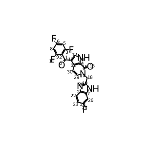 O=C(c1c(F)cc(F)cc1F)c1c[nH]c2c(=O)n(Cc3nc4ccc(F)cc4[nH]3)ccc12